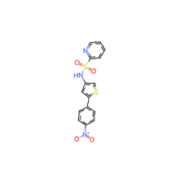 O=[N+]([O-])c1ccc(-c2cc(NS(=O)(=O)c3ccccn3)cs2)cc1